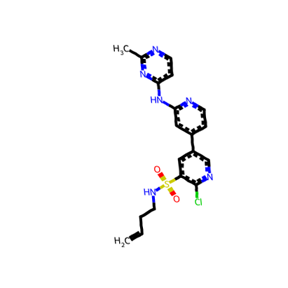 C=CCCNS(=O)(=O)c1cc(-c2ccnc(Nc3ccnc(C)n3)c2)cnc1Cl